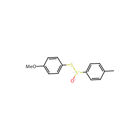 COc1ccc(S[S+]([O-])c2ccc(C)cc2)cc1